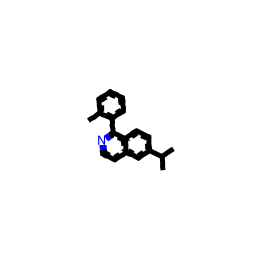 Cc1ccccc1-c1nccc2cc(C(C)C)ccc12